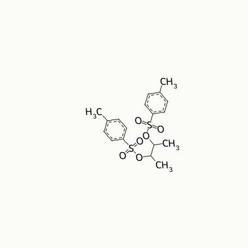 Cc1ccc(S(=O)(=O)OC(C)C(C)OS(=O)(=O)c2ccc(C)cc2)cc1